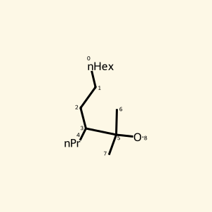 CCCCCCCCC(CCC)C(C)(C)[O]